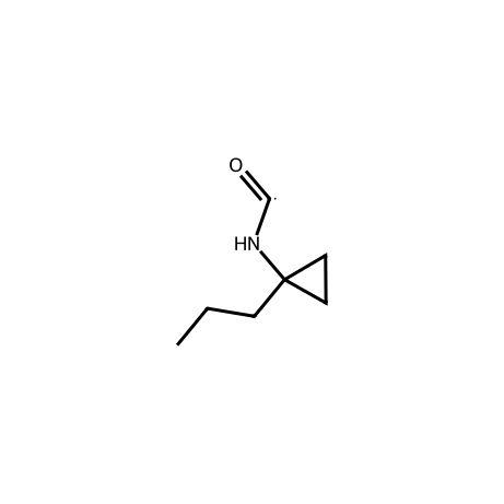 CCCC1(N[C]=O)CC1